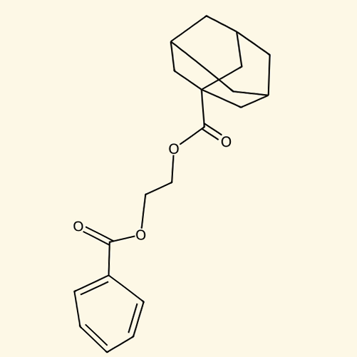 O=C(OCCOC(=O)C12CC3CC(CC(C3)C1)C2)c1ccccc1